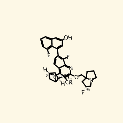 N#Cc1c(OCC23CCCN2C[C@H](F)C3)nc2c(F)c(-c3cc(O)cc4cccc(F)c34)ccc2c1N1C2C[C@H]1C[C@H]2N